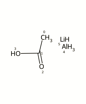 CC(=O)O.[AlH3].[LiH]